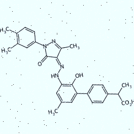 CC1=NN(c2ccc(C)c(C)c2)C(=O)C1=NNc1cc(C)cc(-c2ccc(C(C)C(=O)O)cc2)c1O